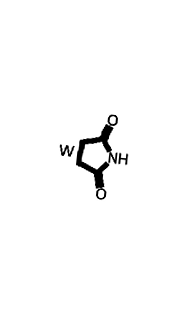 O=C1CCC(=O)N1.[W]